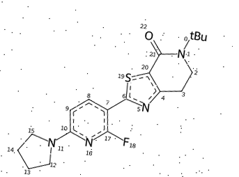 CC(C)(C)N1CCc2nc(-c3ccc(N4CCCC4)nc3F)sc2C1=O